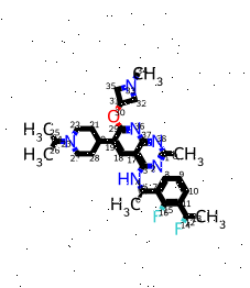 Cc1nc(N[C@H](C)c2cccc(C(C)F)c2F)c2cc(C3CCN(C(C)C)CC3)c(OC3CN(C)C3)nc2n1